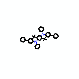 CC1(C)c2cc(-c3ccccc3)ccc2N(c2ccccc2)c2cc3c(cc21)N(c1ccccc1)c1ccc(-c2ccccc2)cc1C3(C)C